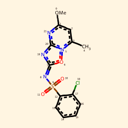 COc1cc(C)n2o/c(=N\S(=O)(=O)c3ccccc3Cl)nc2n1